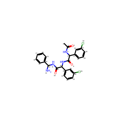 CC(=O)NC(C(=O)NC(C(=O)NC(N)c1ccccc1)c1cccc(Cl)c1)c1cccc(Cl)c1